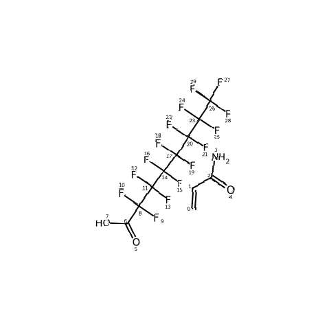 C=CC(N)=O.O=C(O)C(F)(F)C(F)(F)C(F)(F)C(F)(F)C(F)(F)C(F)(F)C(F)(F)F